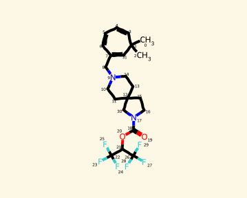 CC1(C)C=CC=CC(CN2CCC3(CC2)CCN(C(=O)OC(C(F)(F)F)C(F)(F)F)C3)=C1